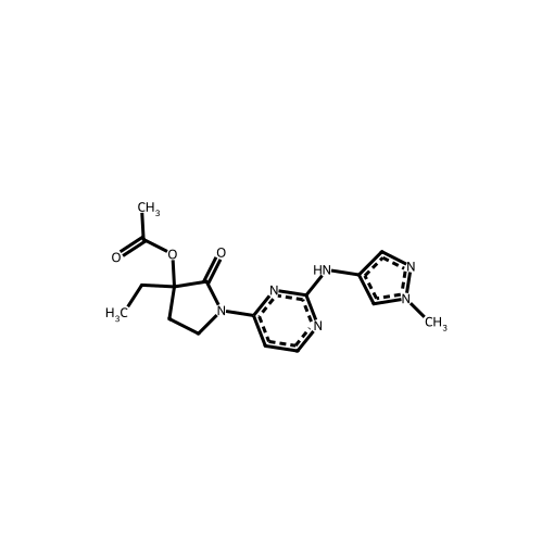 CCC1(OC(C)=O)CCN(c2ccnc(Nc3cnn(C)c3)n2)C1=O